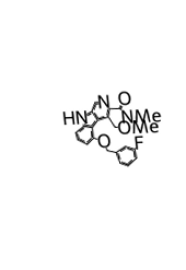 CNC(=O)c1ncc2[nH]c3cccc(OCc4cccc(F)c4)c3c2c1COC